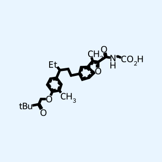 CCC(CCc1ccc2oc(C(=O)NCC(=O)O)c(C)c2c1)c1ccc(OCC(=O)C(C)(C)C)c(C)c1